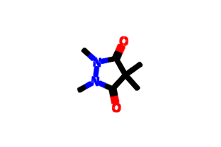 CN1C(=O)C(C)(C)C(=O)N1C